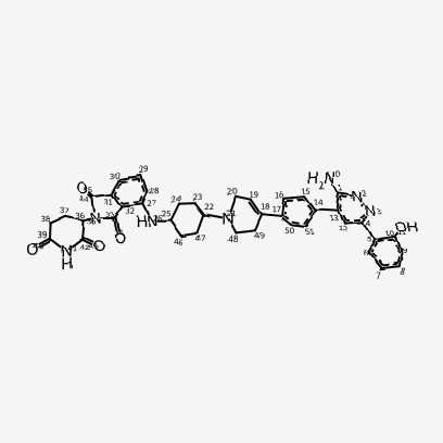 Nc1nnc(-c2ccccc2O)cc1-c1ccc(C2=CCN(C3CCC(Nc4cccc5c4C(=O)N(C4CCC(=O)NC4=O)C5=O)CC3)CC2)cc1